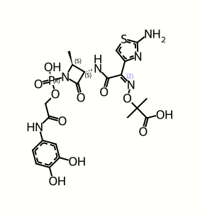 C[C@H]1[C@H](NC(=O)/C(=N\OC(C)(C)C(=O)O)c2csc(N)n2)C(=O)N1[P@@](=O)(O)OCC(=O)Nc1ccc(O)c(O)c1